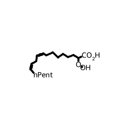 CCCCC/C=C\C/C=C\CCCCCCC(OO)C(=O)O